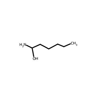 CCCCC[C](N)O